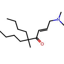 CCCCC(C)(CCCC)C(=O)/C=C/CN(C)C